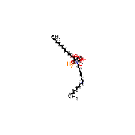 CCCCCCCC/C=C\CCCCCCCC(=O)N(P)[C@@](CO)(C(=O)O)C(=O)CCCCCCCCCCCCCCC